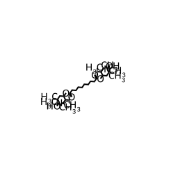 CC1(C)CC(OC(=O)CCCCCCCCC(=O)OC2CC(C)(C)N(O)C(C)(C)C2I)C(I)C(C)(C)N1O